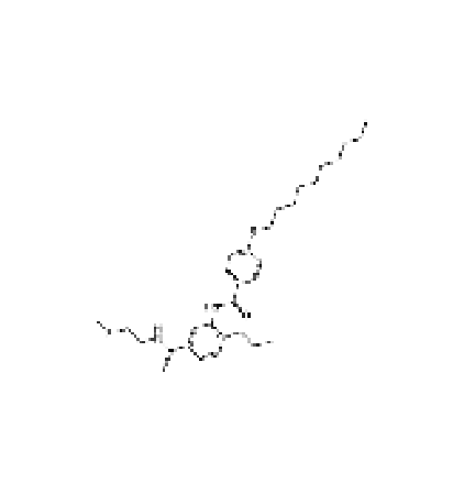 CCCCCCCCCCSc1ccc(C(=O)Nc2cc(C(=O)NCCSC)ccc2CCC)cc1